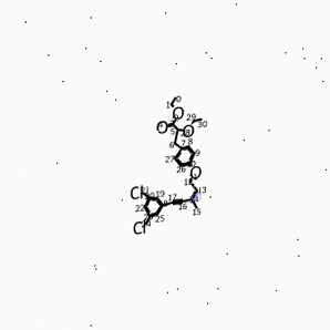 CCOC(=O)C(Cc1ccc(OC/C=C(/C)C#Cc2cc(Cl)cc(Cl)c2)cc1)OCC